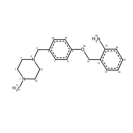 CN1CCN(Cc2ccc(OCc3ccccc3N)cc2)CC1